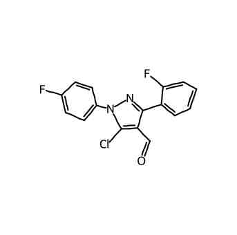 O=Cc1c(-c2ccccc2F)nn(-c2ccc(F)cc2)c1Cl